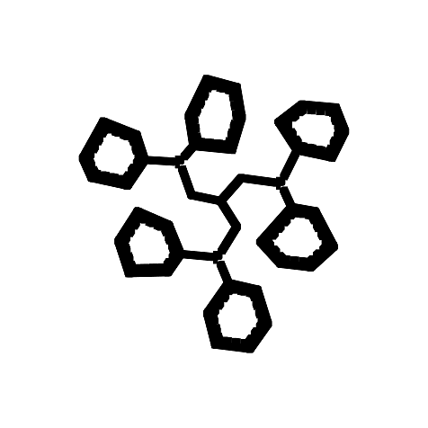 c1ccc(P(CC(CP(c2ccccc2)c2ccccc2)CP(c2ccccc2)c2ccccc2)c2ccccc2)cc1